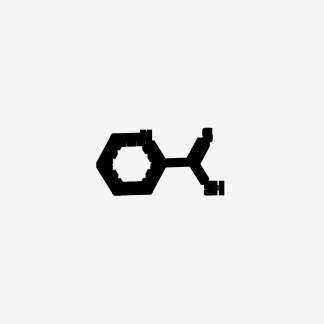 S=C(S)c1ccccn1